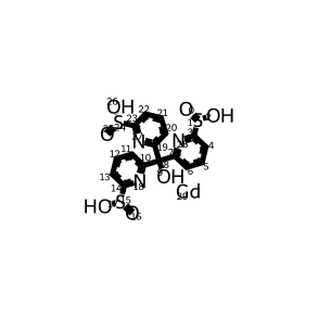 O=S(O)c1cccc(C(O)(c2cccc(S(=O)O)n2)c2cccc(S(=O)O)n2)n1.[Gd]